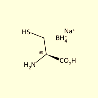 N[C@@H](CS)C(=O)O.[BH4-].[Na+]